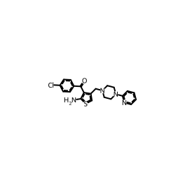 Nc1scc(CN2CCN(c3ccccn3)CC2)c1C(=O)c1ccc(Cl)cc1